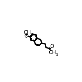 COc1ccc2c(c1)C=CC(CCC(C)=O)C2